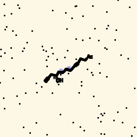 C#CC[C@@H](O)/C=C/C=C/C#CCCC(C)=O